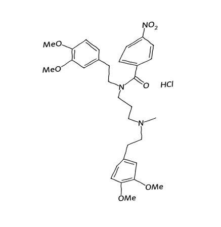 COc1ccc(CCN(C)CCCN(CCc2ccc(OC)c(OC)c2)C(=O)c2ccc([N+](=O)[O-])cc2)cc1OC.Cl